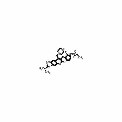 CCS(=O)(=O)Nc1cccc(Cc2c(CN3CCNCC3)c3cc(Cl)c(OC(=O)N(C)C)cc3oc2=O)c1F